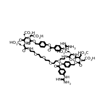 N=C(N)Nc1ccc(C(=O)Oc2ccc(COC(=O)N(CC(=O)O)C(CC(=O)O)C(=O)N[C@@H](CC(=O)O)C(=O)NCCOCCOCCOCCOCCNC(=O)[C@H](CC(=O)O)NC(=O)[C@H](CC(=O)O)N(CC(=O)O)C(=O)OCc3ccc(OC(=O)c4ccc(NC(=N)N)cc4)cc3)cc2)cc1